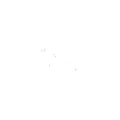 CCCN(CCC)CC(C)(C)O